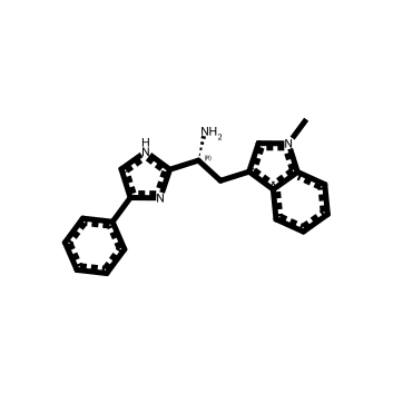 Cn1cc(C[C@@H](N)c2nc(-c3ccccc3)c[nH]2)c2ccccc21